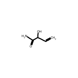 C=CC(O)C(N)=O